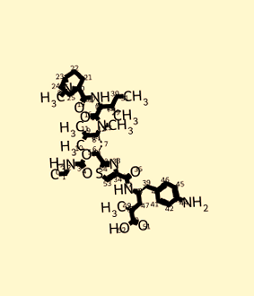 CCNC(=O)O[C@H](C[C@H](C(C)C)N(C)C(=O)[C@@H](NC(=O)C12CCC(CC1)N2C)[C@@H](C)CC)c1nc(C(=O)N[C@@H](Cc2ccc(N)cc2)C[C@H](C)C(=O)O)cs1